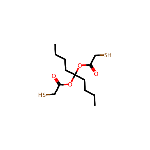 CCCCC(CCCC)(OC(=O)CS)OC(=O)CS